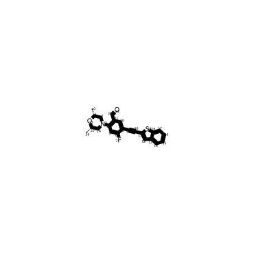 C[C@@H]1CN(c2cc(F)c(C#Cc3cc4ccccc4s3)cc2C=O)C[C@H](C)O1